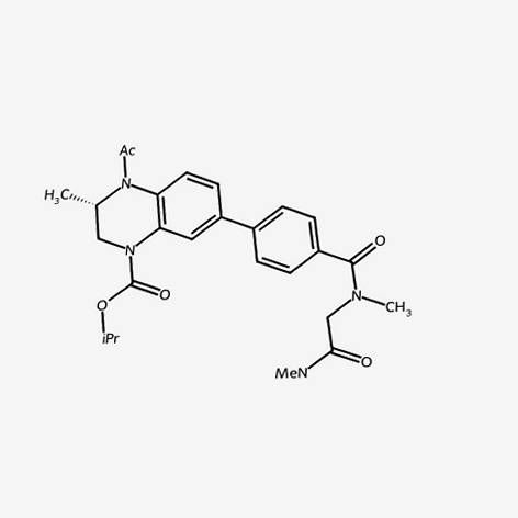 CNC(=O)CN(C)C(=O)c1ccc(-c2ccc3c(c2)N(C(=O)OC(C)C)C[C@H](C)N3C(C)=O)cc1